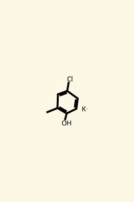 Cc1cc(Cl)ccc1O.[K]